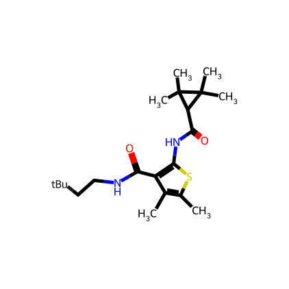 Cc1sc(NC(=O)C2C(C)(C)C2(C)C)c(C(=O)NCCC(C)(C)C)c1C